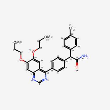 COCCOc1cc2ncnc(-c3ccc(C(C(N)=O)c4ccc(C(F)(F)F)cc4)cc3)c2cc1OCCOC